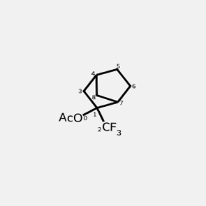 CC(=O)OC1(C(F)(F)F)CC2CCC1C2